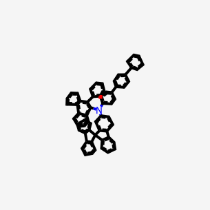 c1ccc(-c2ccc(-c3ccc(N(c4ccc5c(c4)C4(c6ccccc6-c6ccccc64)c4ccccc4-5)c4c(-c5ccccc5)c5ccccc5c5ccccc45)cc3)cc2)cc1